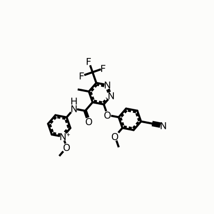 COc1cc(C#N)ccc1Oc1nnc(C(F)(F)F)c(C)c1C(=O)Nc1ccc[n+](OC)c1